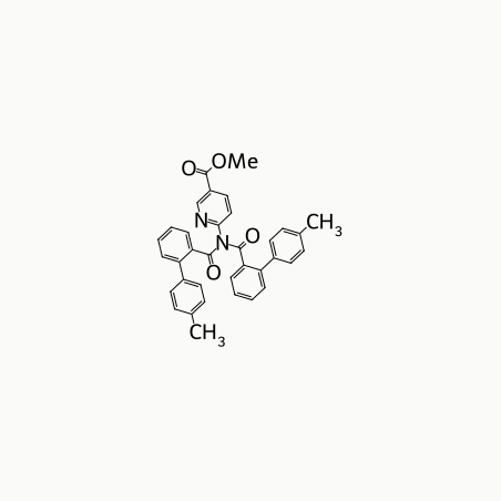 COC(=O)c1ccc(N(C(=O)c2ccccc2-c2ccc(C)cc2)C(=O)c2ccccc2-c2ccc(C)cc2)nc1